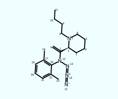 C=C([C@@H]1CCCCN1CCCC)N(N=[N+]=[N-])c1c(C)cccc1C